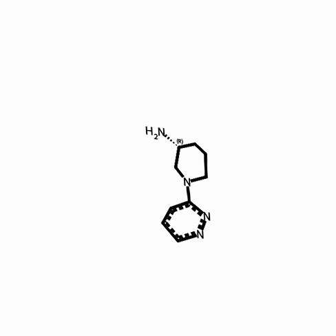 N[C@@H]1CCCN(c2cccnn2)C1